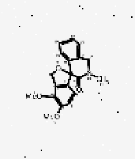 COc1ccc2c(c1OC)COC21C(=O)N(C)Cc2ccccc21